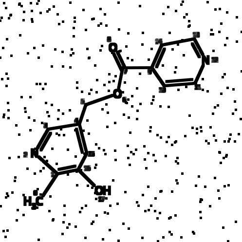 Cc1ncc(COC(=O)c2ccncc2)cc1O